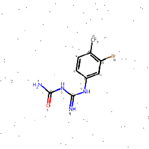 N=C(NC(N)=O)Nc1ccc(C(F)(F)F)c(Br)c1